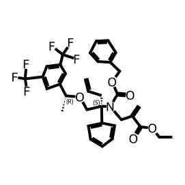 C=CC[C@@](CO[C@H](C)c1cc(C(F)(F)F)cc(C(F)(F)F)c1)(c1ccccc1)N(CC(=C)C(=O)OCC)C(=O)OCc1ccccc1